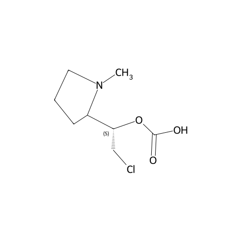 CN1CCCC1[C@@H](CCl)OC(=O)O